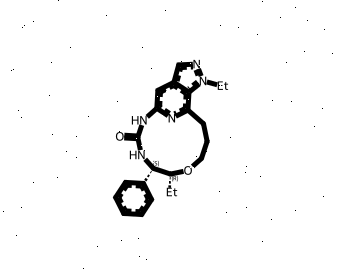 CC[C@H]1OCCCc2nc(cc3cnn(CC)c23)NC(=O)N[C@H]1c1ccccc1